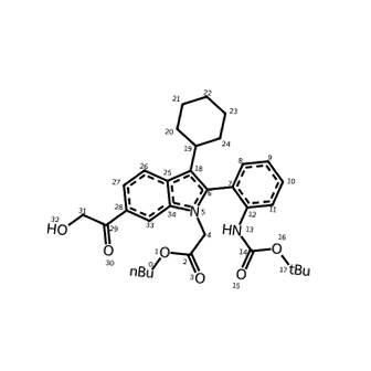 CCCCOC(=O)Cn1c(-c2ccccc2NC(=O)OC(C)(C)C)c(C2CCCCC2)c2ccc(C(=O)CO)cc21